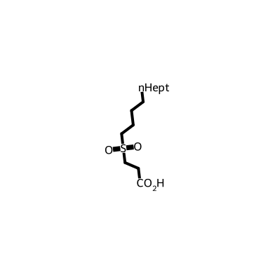 CCCCCCCCCCCS(=O)(=O)CCC(=O)O